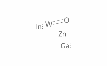 [Ga].[In].[O]=[W].[Zn]